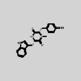 CN1C(=O)[C@H](Cc2c[nH]c3ccccc23)NC(=O)[C@@H]1Cc1ccc(O)cc1